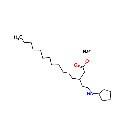 CCCCCCCCCCCCC(CCNC1CCCC1)CC(=O)[O-].[Na+]